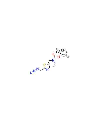 CC(C)(C)OC(=O)N1CCc2nc(CN=[N+]=[N-])sc2C1